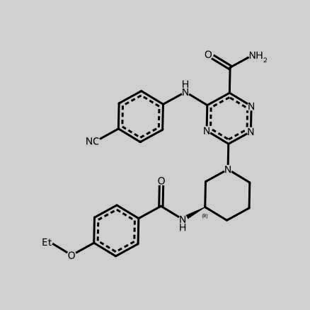 CCOc1ccc(C(=O)N[C@@H]2CCCN(c3nnc(C(N)=O)c(Nc4ccc(C#N)cc4)n3)C2)cc1